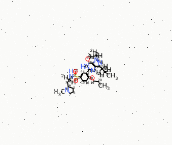 [2H]C([2H])(CC1CCCN1C)NS(=O)(=O)c1ccc(OCCC)c(-c2nc3c(C([2H])([2H])C([2H])([2H])C)nn(C([2H])([2H])[2H])c3c(=O)[nH]2)c1